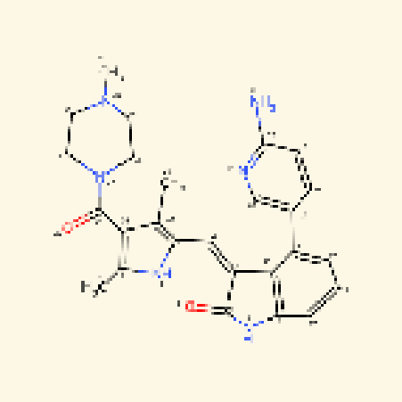 Cc1[nH]c(C=C2C(=O)Nc3cccc(-c4ccc(N)nc4)c32)c(C)c1C(=O)N1CCN(C)CC1